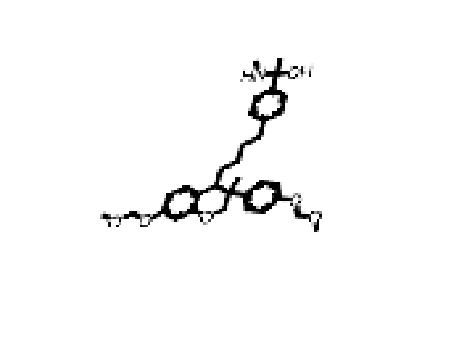 CNC(C)(O)c1ccc(CCCCC2c3ccc(OCOC)cc3OCC2(C)c2ccc(OCOC)cc2)cc1